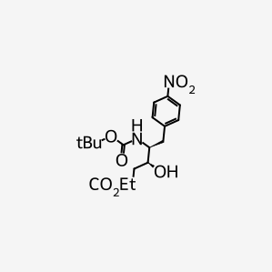 CCOC(=O)C[C@H](O)[C@H](Cc1ccc([N+](=O)[O-])cc1)NC(=O)OC(C)(C)C